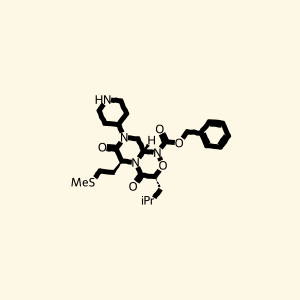 CSCC[C@H]1C(=O)N(C2CCNCC2)C[C@@H]2N(C(=O)OCc3ccccc3)O[C@H](CC(C)C)C(=O)N21